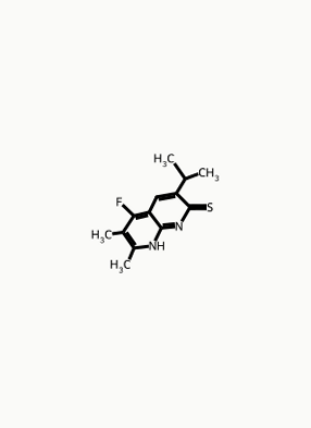 Cc1[nH]c2nc(=S)c(C(C)C)cc-2c(F)c1C